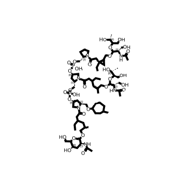 CCC(CC(=O)N1C[C@H](OP(=O)(O)OC[C@@H]2C[C@@H](OP(=O)(O)OC[C@@H]3CCCN3C(=O)CC3(CC)CC3COC(OC(CO)[C@@H](C)O)[C@H](CO)NC(C)=O)CN2C(=O)CC(CC)CC(C)COC(OC(CO)[C@@H](C)O)[C@H](CO)NC(C)=O)C[C@H]1COC1CCCC(C)CC1)CC(C)COC1OC(CO)[C@H](O)C[C@@H]1NC(C)=O